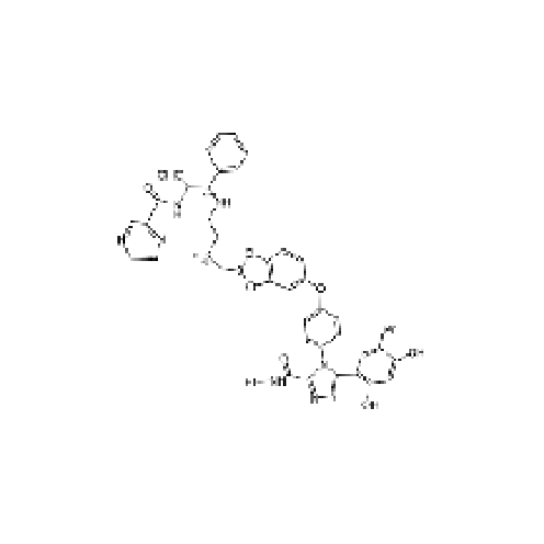 CCNC(=O)c1nnc(-c2cc(C(C)C)c(O)cc2O)n1-c1ccc(Oc2ccc3c(c2)OB(C[C@@H](C)CCN[C@H](c2ccccc2)C(C=O)NC(=O)c2cnccn2)O3)cc1